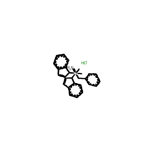 Cl.[CH3][Zr]([CH3])(=[SiH2])([CH2]c1ccccc1)([CH]1C=Cc2ccccc21)[CH]1C=Cc2ccccc21